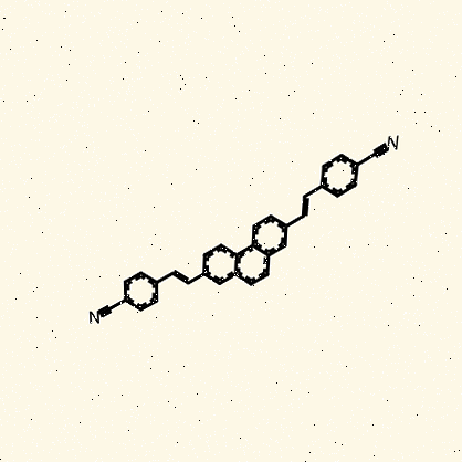 N#Cc1ccc(/C=C/c2ccc3c(ccc4cc(/C=C/c5ccc(C#N)cc5)ccc43)c2)cc1